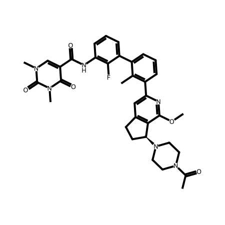 COc1nc(-c2cccc(-c3cccc(NC(=O)c4cn(C)c(=O)n(C)c4=O)c3F)c2C)cc2c1[C@@H](N1CCN(C(C)=O)CC1)CC2